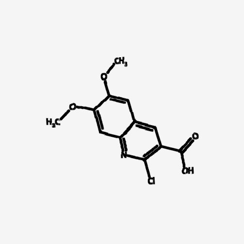 COc1cc2cc(C(=O)O)c(Cl)nc2cc1OC